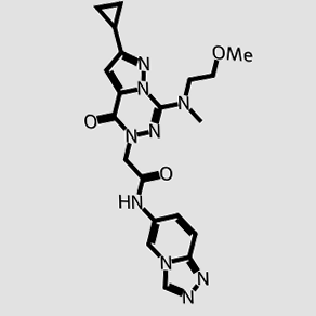 COCCN(C)c1nn(CC(=O)Nc2ccc3nncn3c2)c(=O)c2cc(C3CC3)nn12